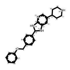 c1ccc(OCc2ccc(C3Nc4cc(C5CCNCC5)cnc4N3)cc2)cc1